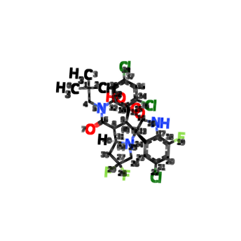 CC(C)(C)CN(C(=O)C1[C@@H](C(=O)O)[C@]2(C(=O)Nc3c(F)cc(Cl)cc32)N2CC(F)(F)C[C@@H]12)c1cc(Cl)cc(Cl)c1